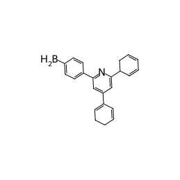 Bc1ccc(-c2cc(C3=CCCC=C3)cc(C3C=CC=CC3)n2)cc1